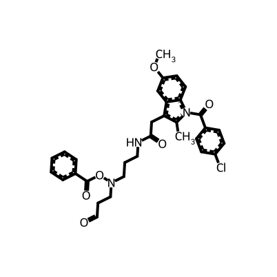 COc1ccc2c(c1)c(CC(=O)NCCCN(CCC=O)OC(=O)c1ccccc1)c(C)n2C(=O)c1ccc(Cl)cc1